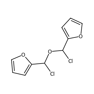 ClC(OC(Cl)c1ccco1)c1ccco1